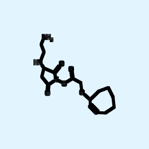 NCCNC1CC(=O)N(OC(=O)COC2C#CCCCCC2)C1=O